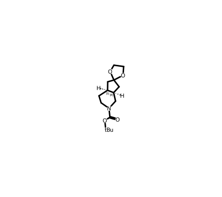 CC(C)(C)OC(=O)N1CC[C@H]2CC3(C[C@H]2C1)OCCO3